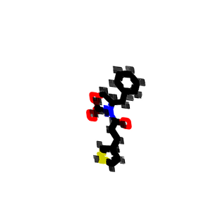 O=C(/C=C/c1ccsc1)N1C(=O)OCC1Cc1ccccc1